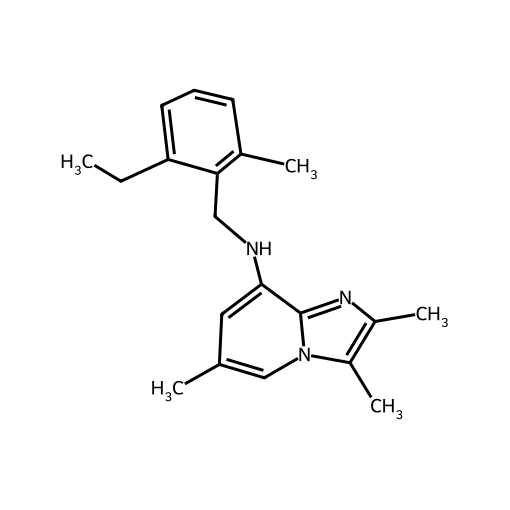 CCc1cccc(C)c1CNc1cc(C)cn2c(C)c(C)nc12